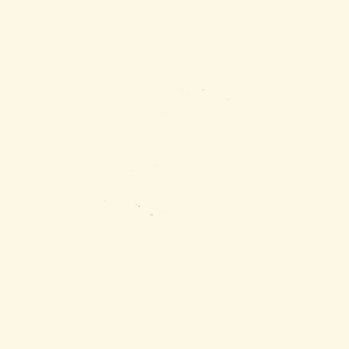 O=C1CCC(c2cccc(-c3ccc(-n4c(C(F)(F)F)cccc4=O)cc3)c2Cl)C(=O)N1